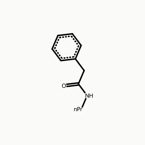 [CH2]CCNC(=O)Cc1ccccc1